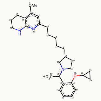 COc1cc(CCCCC[C@@H]2CCN(C(C(=O)O)c3ccccc3OC3CC3)C2)nc2c1CCCN2